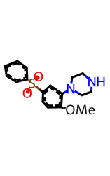 COc1ccc(S(=O)(=O)c2ccccc2)cc1N1CCNCC1